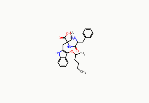 C=CC(Cc1[nH]c2ccccc2c1OC(C)CCCC)(NC(=O)C(N)Cc1ccccc1)C(=O)O